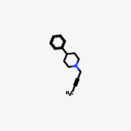 CC#CCN1CCC(c2ccccc2)CC1